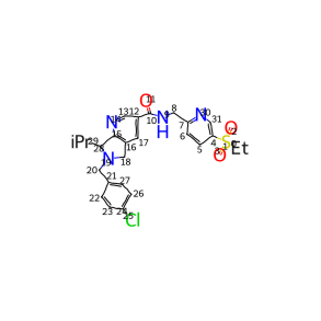 CCS(=O)(=O)c1ccc(CNC(=O)c2cnc3c(c2)CN(Cc2ccc(Cl)cc2)C3C(C)C)nc1